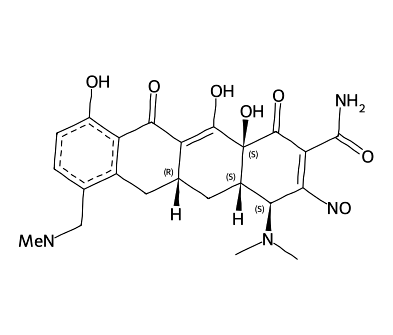 CNCc1ccc(O)c2c1C[C@H]1C[C@H]3[C@H](N(C)C)C(N=O)=C(C(N)=O)C(=O)[C@@]3(O)C(O)=C1C2=O